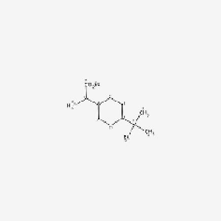 CCOC(=O)C(C)C1CCC(C(C)(C)CC)CC1